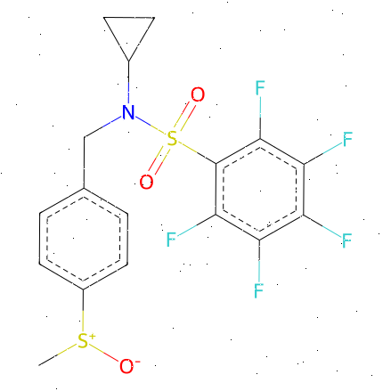 C[S+]([O-])c1ccc(CN(C2CC2)S(=O)(=O)c2c(F)c(F)c(F)c(F)c2F)cc1